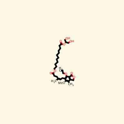 C=CCOc1c(CC=C(C)CCC(=O)OCCCCCCCCCCCC(=O)OC(CO)CO)c(OC)c(C)c2c1C(=O)OC2